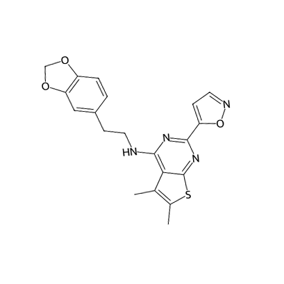 Cc1sc2nc(-c3ccno3)nc(NCCc3ccc4c(c3)OCO4)c2c1C